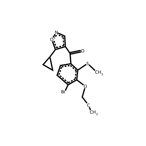 CCCOc1c(Br)ccc(C(=O)c2cnoc2C2CC2)c1SC